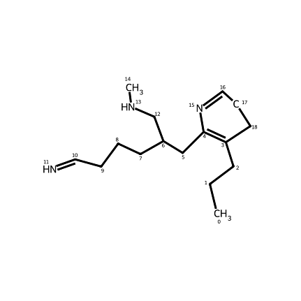 CCCC1=C(CC(CCCC=N)CNC)N=CCC1